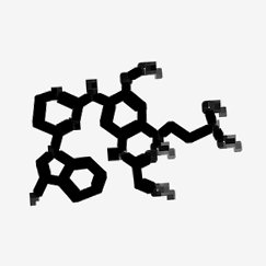 C=CC(=O)Nc1cc(Nc2nccc(-n3cc(F)c4ccccc43)n2)c(OC)cc1N(C)CCN(C)C